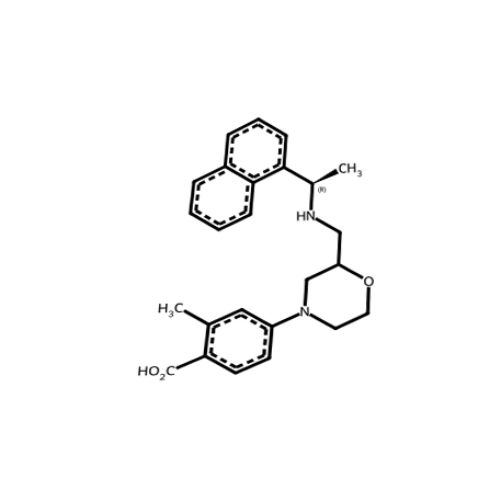 Cc1cc(N2CCOC(CN[C@H](C)c3cccc4ccccc34)C2)ccc1C(=O)O